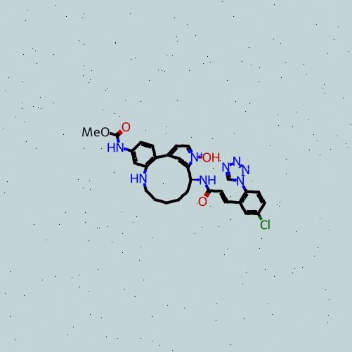 COC(=O)Nc1ccc2c(c1)NCCCCC[C@H](NC(=O)/C=C/c1cc(Cl)ccc1-n1cnnn1)c1cc-2cc[n+]1O